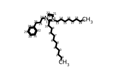 CCCCCCCCCCCc1n(CCCCCCCC)cc[n+]1CCCc1ccccc1